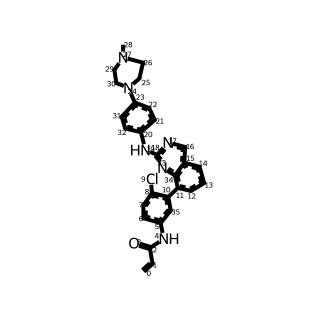 C=CC(=O)Nc1ccc(Cl)c(-c2cccc3cnc(Nc4ccc(N5CCN(C)CC5)cc4)nc23)c1